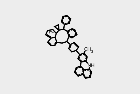 Cc1cc2c(cc1C1C=CC(C3CC4=CC=CC5=CCC[C@H](C54)C4(CC4)C(c4ccccc4)c4ccccc43)=CC1)-c1cccc3cccc(c13)N2